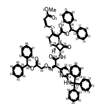 COC(=O)/C=C\SC1=C(C(=O)OC(c2ccccc2)c2ccccc2)N2C(=O)[C@@H](NC(=O)/C(=N\OCC(=O)OC(c3ccccc3)c3ccccc3)c3csc(NC(c4ccccc4)(c4ccccc4)c4ccccc4)n3)[C@H]2SC1